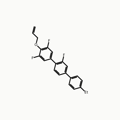 C=CCOc1c(F)cc(-c2ccc(-c3ccc(CC)cc3)cc2F)cc1F